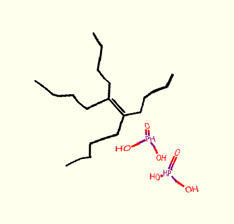 CCCCC(CCCC)=C(CCCC)CCCC.O=[PH](O)O.O=[PH](O)O